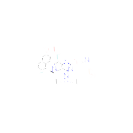 C#Cc1c(F)ccc2cc(O)cc(-c3ncc4c(N5C[C@H]6CC[C@@H](C5)N6)nc(OCC56CCCN5CC(P(C)(C)=O)C6)nc4c3F)c12